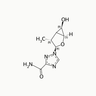 C[C@@H]1C2[C@@H](O)[C@H]2O[C@H]1n1cnc(C(N)=O)n1